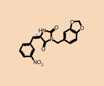 O=C1N/C(=C/c2cccc([N+](=O)[O-])c2)C(=O)N1Cc1ccc2c(c1)OCO2